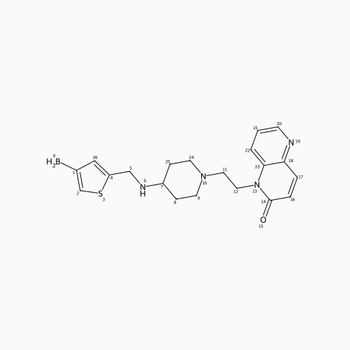 Bc1csc(CNC2CCN(CCn3c(=O)ccc4ncccc43)CC2)c1